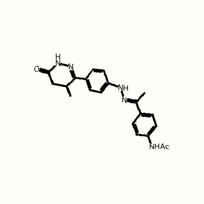 CC(=O)Nc1ccc(C(C)=NNc2ccc(C3=NNC(=O)CC3C)cc2)cc1